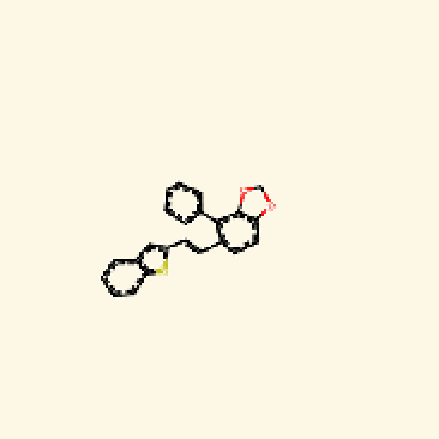 C(=Cc1ccc2c(c1-c1ccccc1)OCO2)c1cc2ccccc2s1